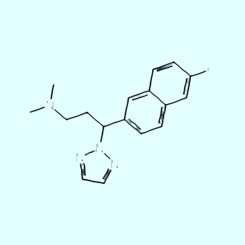 CN(C)CCC(c1ccc2cc(Cl)ccc2c1)n1nccn1